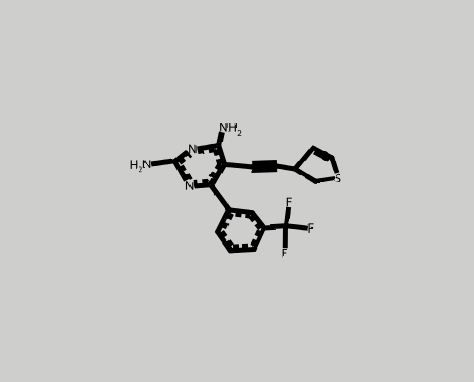 Nc1nc(N)c(C#CC2C=CSC2)c(-c2cccc(C(F)(F)F)c2)n1